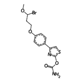 COC(Br)CCOc1ccc(-c2csc(OC(N)=O)n2)cc1